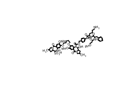 C=C1CC2C(O)N(C(=O)OCc3ccc(NC(=O)C(CCCCN)NC(=O)C(Cc4ccccc4)NC(=O)CCOC(C)C)cc3)c3cc(OCCCCCOc4cc5c(cc4OC)C(=O)N4CC(=C)CC4C(S(=O)(=O)O)N5)c(OC)cc3C(=O)N2C1